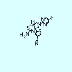 N#Cc1csc(C23CN(c4ncc(F)cn4)C[C@H]2CSC(N)=N3)c1